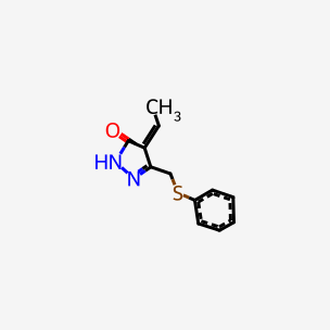 C/C=C1\C(=O)NN=C1CSc1ccccc1